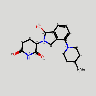 CNC1CCN(c2cccc3c2CN(C2CCC(=O)NC2=O)C3O)CC1